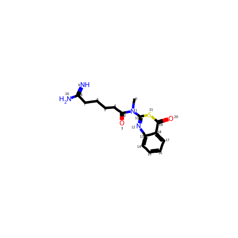 CN(C(=O)CCCCC(=N)N)c1nc2ccccc2c(=O)s1